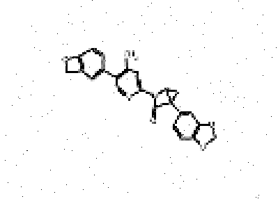 Cc1cc(N2C(=O)C3(c4ccc5c(c4)OCO5)CC23)ncc1-c1ccc2c(c1)CO2